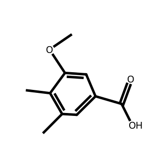 COc1cc(C(=O)O)cc(C)c1C